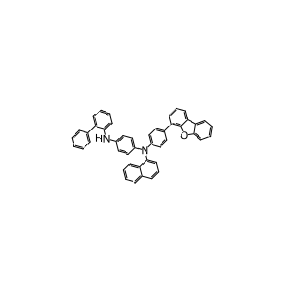 c1ccc(-c2ccccc2Nc2ccc(N(c3ccc(-c4cccc5c4oc4ccccc45)cc3)c3cccc4ccccc34)cc2)cc1